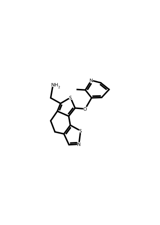 Cc1ncccc1Oc1sc(CN)c2c1-c1sncc1CC2